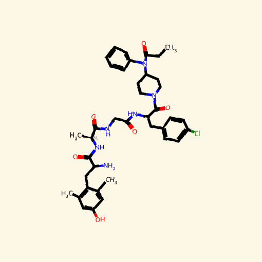 CCC(=O)N(c1ccccc1)C1CCN(C(=O)C(Cc2ccc(Cl)cc2)NC(=O)CNC(=O)[C@H](C)NC(=O)C(N)Cc2c(C)cc(O)cc2C)CC1